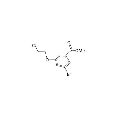 COC(=O)c1cc(Br)cc(OCCCl)c1